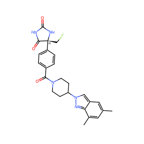 Cc1cc(C)c2nn(C3CCN(C(=O)c4ccc([C@@]5(CF)NC(=O)NC5=O)cc4)CC3)cc2c1